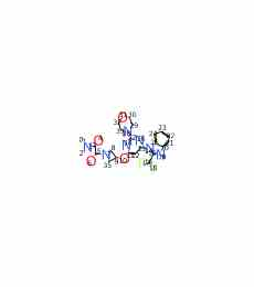 CN(C)C(=O)C(=O)N1CC(Oc2cc(-n3c(C(F)F)nc4ccccc43)nc(N3CCOCC3)n2)C1